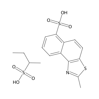 CCC(C)S(=O)(=O)O.Cc1nc2c(ccc3c(S(=O)(=O)O)cccc32)s1